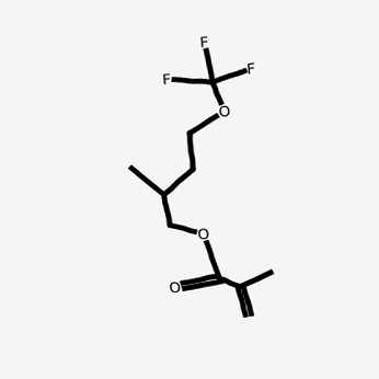 C=C(C)C(=O)OCC(C)CCOC(F)(F)F